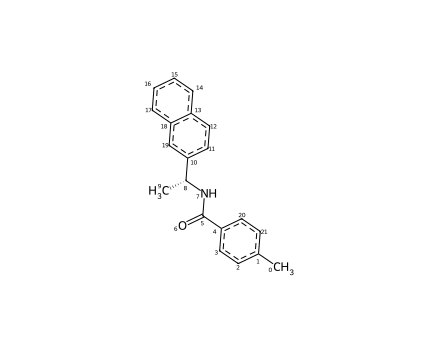 Cc1ccc(C(=O)N[C@H](C)c2ccc3ccccc3c2)cc1